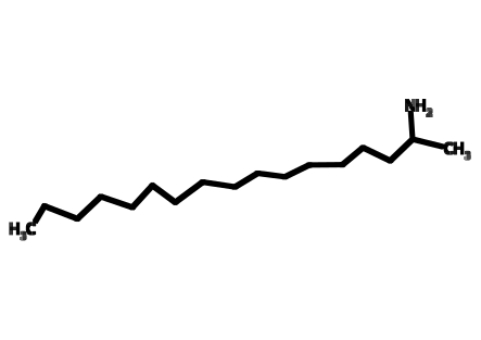 CCCCCCCCCCCCCCCC(C)N